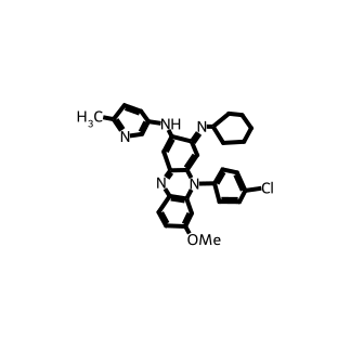 COc1ccc2nc3cc(Nc4ccc(C)nc4)/c(=N/C4CCCCC4)cc-3n(-c3ccc(Cl)cc3)c2c1